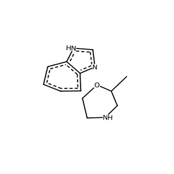 CC1CNCCO1.c1ccc2[nH]cnc2c1